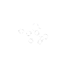 C=C1/C=C\C=C/CN(c2cc(-c3ccccc3)cc(-c3ccccc3)c2)c2ccc(-n3c4ccccc4c4ccccc43)cc21